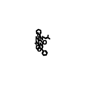 CC(C)=CCn1c(N2CCCCC2)nc2c1c(=O)n(CC(=O)c1ccccc1)c(=O)n2C